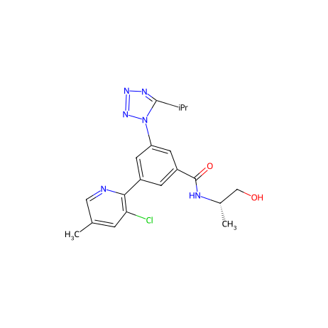 Cc1cnc(-c2cc(C(=O)N[C@@H](C)CO)cc(-n3nnnc3C(C)C)c2)c(Cl)c1